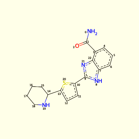 NC(=O)c1cccc2[nH]c(-c3ccc(C4CCCCN4)s3)nc12